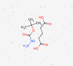 CC(C)(C)OC(=O)NN.O=C(O)CCCC(=O)O